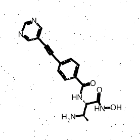 C[C@@H](N)[C@H](NC(=O)c1ccc(C#Cc2cncnc2)cc1)C(=O)NO